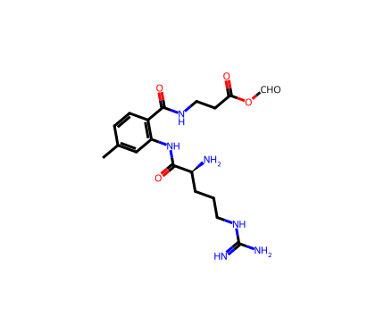 Cc1ccc(C(=O)NCCC(=O)OC=O)c(NC(=O)[C@@H](N)CCCNC(=N)N)c1